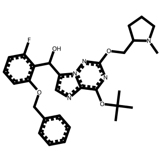 CN1CCCC1COc1nc(OC(C)(C)C)c2ncc(C(O)c3c(F)cccc3OCc3ccccc3)n2n1